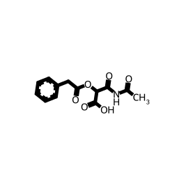 CC(=O)NC(=O)C(OC(=O)Cc1ccccc1)C(=O)O